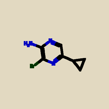 Nc1ncc(C2CC2)nc1Br